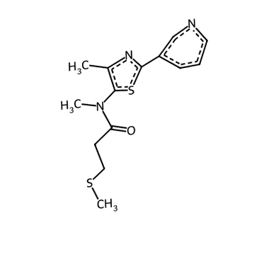 CSCCC(=O)N(C)c1sc(-c2cccnc2)nc1C